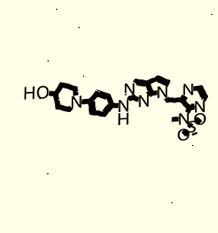 CN(c1nccnc1Cn1ccc2cnc(Nc3ccc(N4CCC(O)CC4)cc3)nc21)S(C)(=O)=O